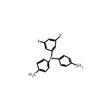 Cc1ccc(N(c2ccc(C)cc2)c2cc(F)cc(F)c2)cc1